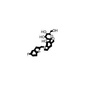 OC[C@H]1O[C@]2(OCc3cc4ccn(Cc5cc6cc(F)ccc6s5)c4cc32)[C@H](O)[C@@H](O)[C@@H]1O